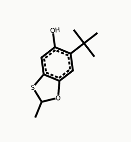 CC1Oc2cc(C(C)(C)C)c(O)cc2S1